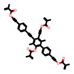 C=C(C)C(=O)OC#Cc1ccc(C#Cc2c(C)c(OC(=O)C(=C)C)c(-c3ccc(C#COC(=O)C(=C)C)cc3)c(C)c2C#COC(=O)C(=C)C)cc1